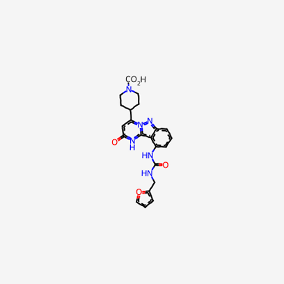 O=C(NCc1ccco1)Nc1cccc2nn3c(C4CCN(C(=O)O)CC4)cc(=O)[nH]c3c12